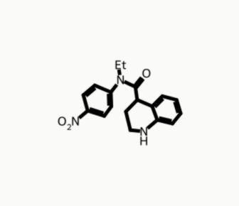 CCN(C(=O)C1CCNc2ccccc21)c1ccc([N+](=O)[O-])cc1